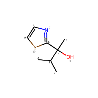 CC(C)C(C)(O)c1nccs1